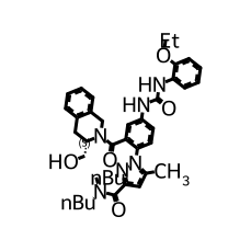 CCCCN(CCCC)C(=O)c1cc(C)n(-c2ccc(NC(=O)Nc3ccccc3OCC)cc2C(=O)N2Cc3ccccc3C[C@H]2CO)n1